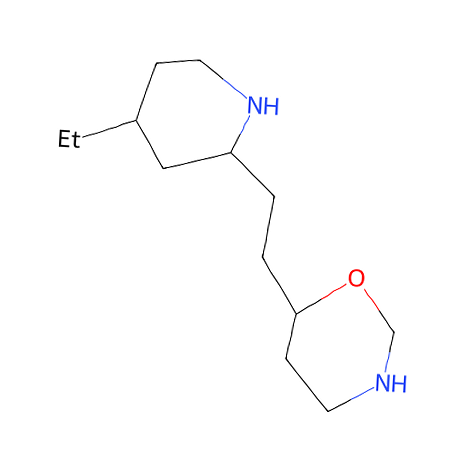 CCC1CCNC(CCC2CCNCO2)C1